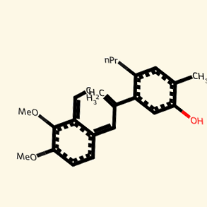 C=C(/C=c1/ccc(OC)c(OC)/c1=C/C)c1cc(O)c(C)cc1CCC